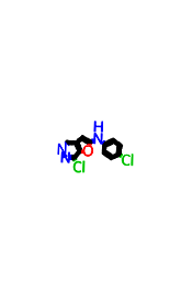 Clc1ccc(Nc2cc3cnnc(Cl)c3o2)cc1